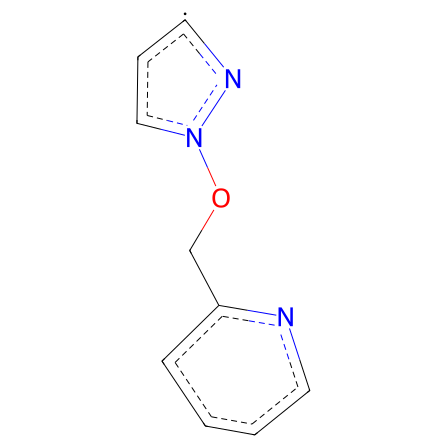 [c]1ccn(OCc2ccccn2)n1